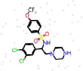 O=S(=O)(NC(CN1CCNCC1)c1ccc(Cl)c(Cl)c1)c1ccc(OC(F)(F)F)cc1